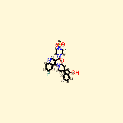 CS(=O)(=O)N1CCN(C(=O)c2cnc3ccc(F)cc3c2N2CCC(CCO)(c3ccccc3)CC2)CC1